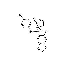 CC(=O)c1ccc2c(c1)[C@@H]1C=CC[C@@H]1[C@H](c1cc3c(cc1Cl)OCO3)N2